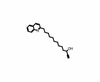 C#CC(O)CCCCCCCCCCc1ccc2ccccc2n1